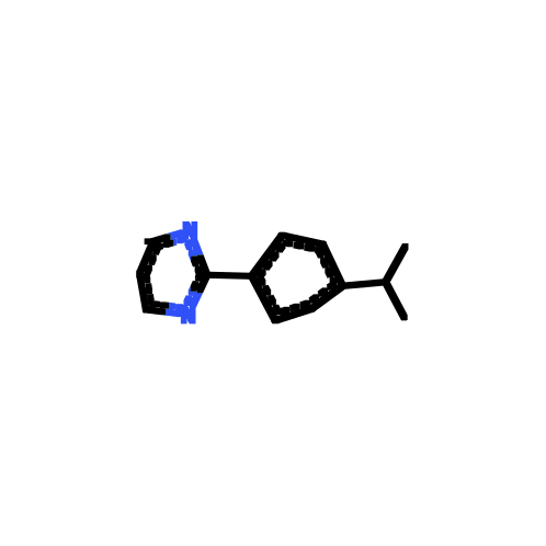 CC(C)c1ccc(-c2n[c]ccn2)cc1